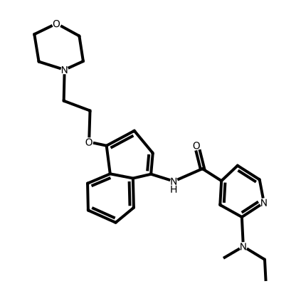 CCN(C)c1cc(C(=O)Nc2ccc(OCCN3CCOCC3)c3ccccc23)ccn1